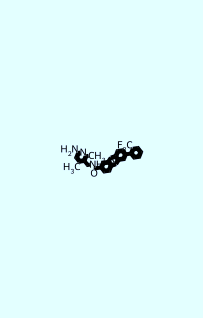 Cc1cc(N)nc(C)c1CNC(=O)c1ccc2c(c1)c1oc2c2cc(-c3ccccc3C(F)(F)F)ccc21